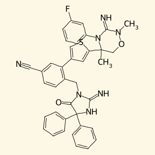 CN1OCC(C)(c2cc(-c3cc(C#N)ccc3CN3C(=N)NC(c4ccccc4)(c4ccccc4)C3=O)cs2)N(c2cccc(F)c2)C1=N